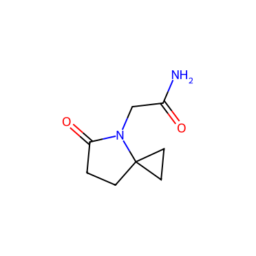 NC(=O)CN1C(=O)CCC12CC2